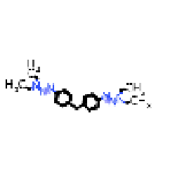 CCN(CC)/N=N/c1ccc(Cc2ccc(/N=N/N(CC)CC)cc2)cc1